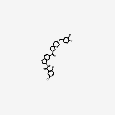 O=C(NC1CCc2ccc(C(=O)N3CCC4(CCN(Cc5ccc(F)c(F)c5)CC4)C3)cc21)c1cc(Cl)ccc1F